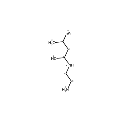 CCCC(C)CC(O)NCCN